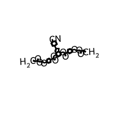 C=CC(=O)OCOc1ccc(C(=O)Oc2ccc(OC(=O)c3ccc(OCOC(=O)C=C)cc3)c3c2C=C(c2ccc(C#N)cc2)C3)cc1